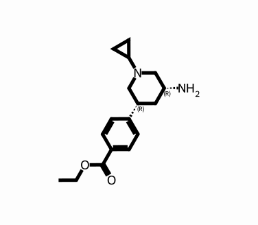 CCOC(=O)c1ccc([C@H]2C[C@@H](N)CN(C3CC3)C2)cc1